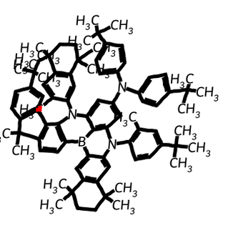 Cc1cc(C(C)(C)C)ccc1N1c2cc3c(cc2B2c4ccc5c(c4N(c4cc6c(cc4C)C(C)(C)CCC6(C)C)c4cc(N(c6ccc(C(C)(C)C)cc6)c6ccc(C(C)(C)C)cc6)cc1c42)-c1cc(C(C)(C)C)ccc1C5(C)C)C(C)(C)CCC3(C)C